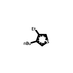 CCCCc1cscc1CC